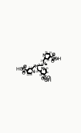 CN(CCN(Cc1cc(S(=O)(=O)O)ccn1)Cc1cc(S(=O)(=O)O)ccn1)Cc1cc(S(=O)(=O)O)ccn1